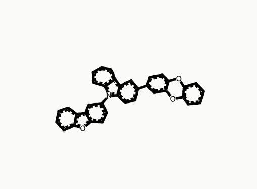 c1ccc2c(c1)Oc1ccc(-c3ccc4c(c3)c3ccccc3n4-c3ccc4oc5ccccc5c4c3)cc1O2